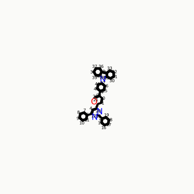 C1=CC(c2cc(-c3ccccc3)nc(-c3ccccc3)n2)OC=C1c1ccc(-n2c3ccccc3c3ccccc32)cc1